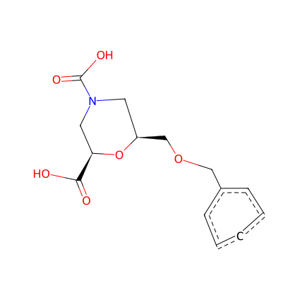 O=C(O)[C@H]1CN(C(=O)O)C[C@@H](COCc2ccccc2)O1